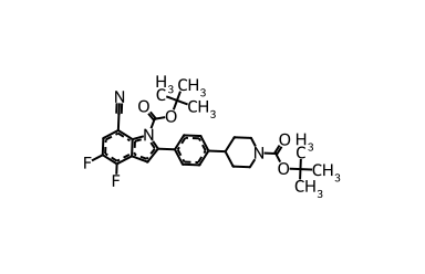 CC(C)(C)OC(=O)N1CCC(c2ccc(-c3cc4c(F)c(F)cc(C#N)c4n3C(=O)OC(C)(C)C)cc2)CC1